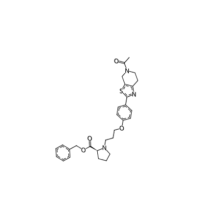 CC(=O)N1CCc2nc(-c3ccc(OCCCN4CCC[C@H]4C(=O)OCc4ccccc4)cc3)sc2C1